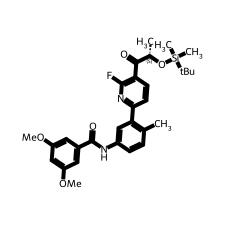 COc1cc(OC)cc(C(=O)Nc2ccc(C)c(-c3ccc(C(=O)[C@H](C)O[Si](C)(C)C(C)(C)C)c(F)n3)c2)c1